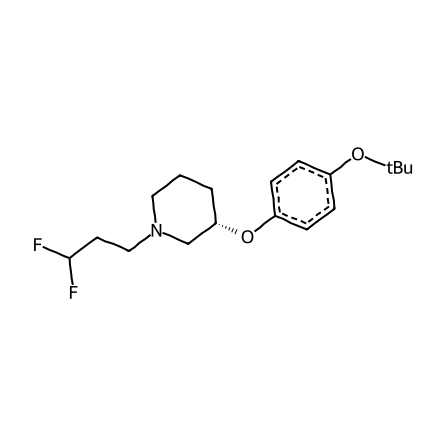 CC(C)(C)Oc1ccc(O[C@H]2CCCN(CCC(F)F)C2)cc1